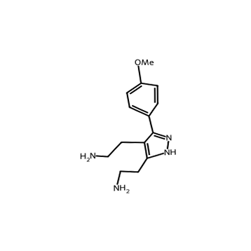 COc1ccc(-c2n[nH]c(CCN)c2CCN)cc1